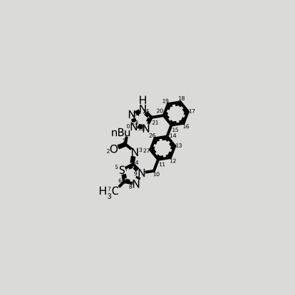 CCCCC(=O)N=c1sc(C)nn1Cc1ccc(-c2ccccc2-c2nnn[nH]2)cc1